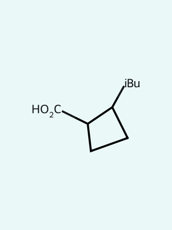 CCC(C)C1CCC1C(=O)O